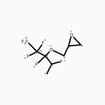 CC(F)C(F)(OCC1CO1)C(F)(F)C(F)(F)F